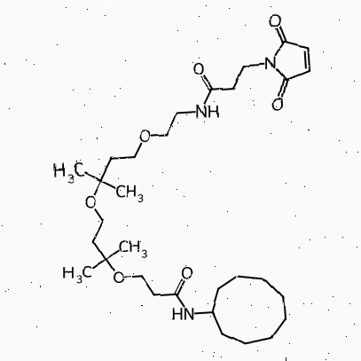 CC(C)(CCOCCNC(=O)CCN1C(=O)C=CC1=O)OCCC(C)(C)OCCC(=O)NC1CCCCCCCC1